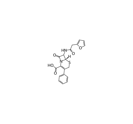 O=C(Cc1ccco1)NC1C(=O)N2C(C(=O)O)=C(c3ccccc3)CS[C@@H]12